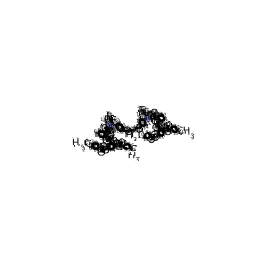 Cc1ccc(S(=O)(=O)Oc2ccc(OS(=O)(=O)c3ccc(C)cc3)c(S(=O)(=O)Oc3ccccc3S(=O)(=O)O/N=C(/c3ccc(OCCCOc4ccc(/C(=N\OS(=O)(=O)c5ccccc5OS(=O)(=O)c5cc(OS(=O)(=O)c6ccc(C)cc6)ccc5OS(=O)(=O)c5ccc(C)cc5)C(F)(F)F)cc4)cc3)C(F)(F)F)c2)cc1